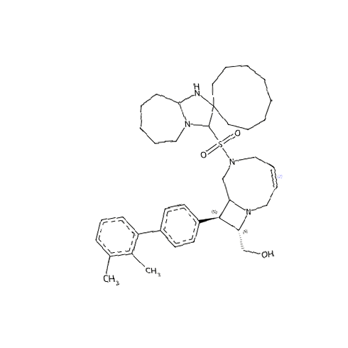 Cc1cccc(-c2ccc([C@H]3C4CN(S(=O)(=O)C5N6CCCCCC6NC56CCCCCCCC6)C/C=C\CN4[C@@H]3CO)cc2)c1C